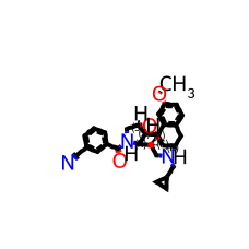 COc1ccc2c(c1)[C@]13CCN(CC4CC4)[C@H](C2)[C@]12CC[C@@H]1[C@H]3[C@@H](CN1C(=O)c1cccc(C#N)c1)O2